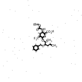 C=CCC(OCc1ccccc1)[C@@H](C)Oc1nc(C(=O)O)c(NC(=O)OC(C)(C)C)cc1C(F)(F)F